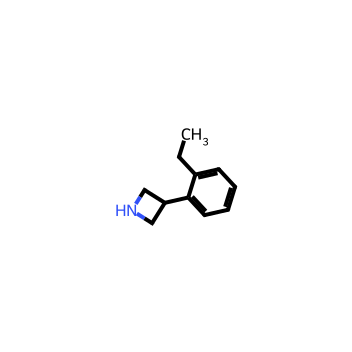 CCc1ccccc1C1CNC1